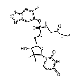 CC(C)OC(=O)CNP(=O)(OC[C@H]1O[C@@H](n2ccc(=O)[nH]c2=O)[C@](C)(F)[C@@H]1O)Oc1cc2nsnc2cc1F